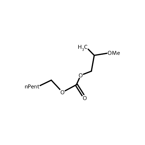 CCCCCCOC(=O)OCC(C)OC